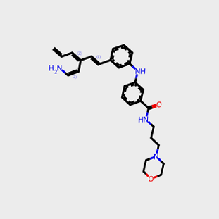 C=C/C=C(\C=C/N)/C=C/c1cccc(Nc2cccc(C(=O)NCCCN3CCOCC3)c2)c1